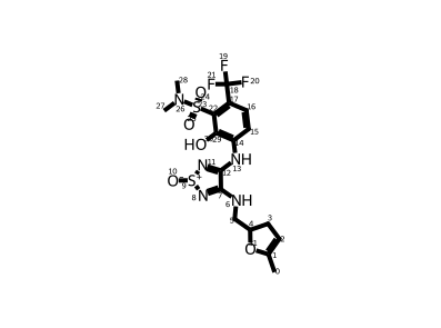 CC1=CCC(CNc2n[s+]([O-])nc2Nc2ccc(C(F)(F)F)c(S(=O)(=O)N(C)C)c2O)O1